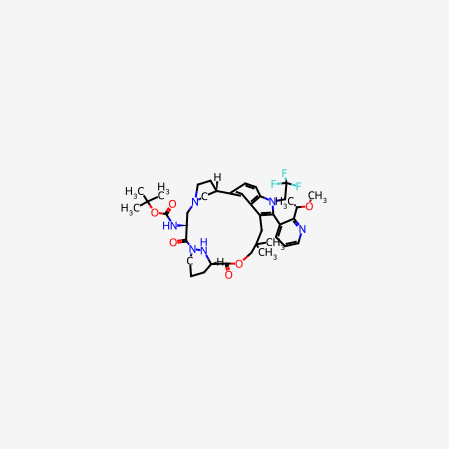 CO[C@@H](C)c1ncccc1-c1c2c3cc(ccc3n1CC(F)(F)F)[C@H]1CCN(C1)C[C@H](NC(=O)OC(C)(C)C)C(=O)N1CCC[C@H](N1)C(=O)OCC(C)(C)C2